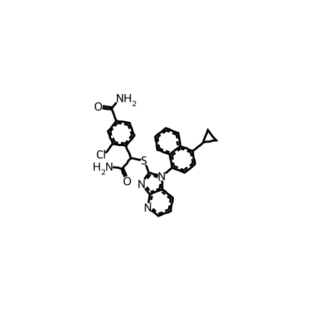 NC(=O)c1ccc(C(Sc2nc3ncccc3n2-c2ccc(C3CC3)c3ccccc23)C(N)=O)c(Cl)c1